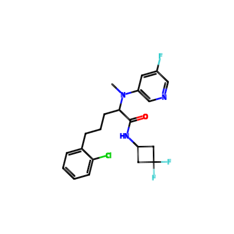 CN(c1cncc(F)c1)C(CCCc1ccccc1Cl)C(=O)NC1CC(F)(F)C1